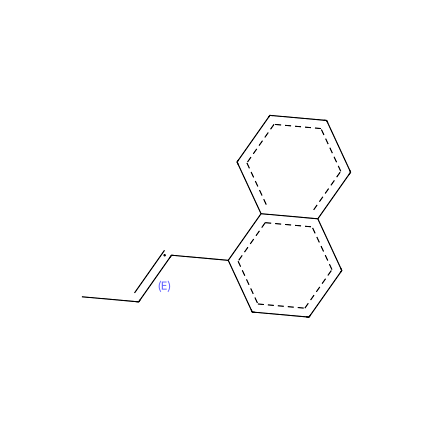 C/C=[C]/c1cccc2ccccc12